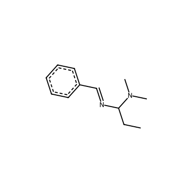 CCC(N=Cc1ccccc1)N(C)C